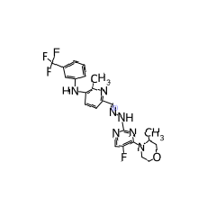 Cc1nc(/C=N/Nc2ncc(F)c(N3CCOCC3C)n2)ccc1Nc1cccc(C(F)(F)F)c1